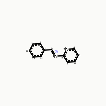 C(=N\c1ccccn1)/c1ccccc1